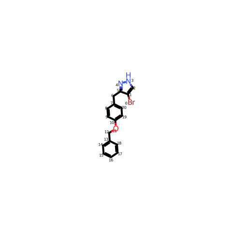 Brc1c[nH]nc1Cc1ccc(OCc2ccccc2)cc1